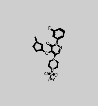 CCCS(=O)(=O)N1CCN(c2cnn(-c3cccc(F)c3)c(=O)c2OC2CCC(C)C2)CC1